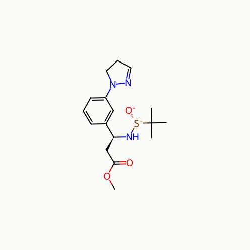 COC(=O)C[C@H](N[S@+]([O-])C(C)(C)C)c1cccc(N2CCC=N2)c1